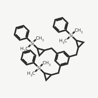 C[Si](C)(c1ccccc1)C1CC1Cc1cc(CC2CC2[Si](C)(C)c2ccccc2)cc(CC2CC2[Si](C)(C)c2ccccc2)c1